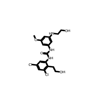 COc1cc(NCCO)cc(NC(=O)Nc2cc(Cl)cc(Cl)c2CCO)c1